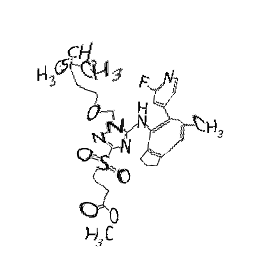 COC(=O)CCS(=O)(=O)c1nc(Nc2c3c(cc(C)c2-c2ccnc(F)c2)CCC3)n(COCC[Si](C)(C)C)n1